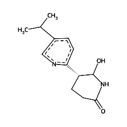 CC(C)c1ccc([C@H]2CCC(=O)NC2O)nc1